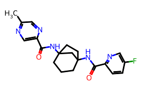 Cc1cnc(C(=O)NC23CCCC(NC(=O)c4ccc(F)cn4)(CC2)C3)cn1